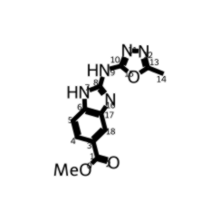 COC(=O)c1ccc2[nH]c(Nc3nnc(C)o3)nc2c1